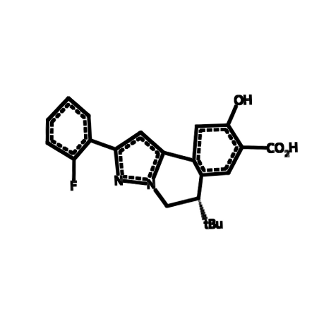 CC(C)(C)[C@@H]1Cn2nc(-c3ccccc3F)cc2-c2cc(O)c(C(=O)O)cc21